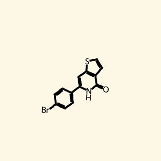 O=c1[nH]c(-c2ccc(Br)cc2)cc2sccc12